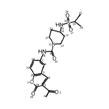 CC(=O)c1cc2cc(NC(=O)N3CCC(NS(=O)(=O)C(C)C)CC3)ccc2oc1=O